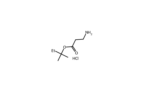 CCC(C)(C)OC(=O)CCN.Cl